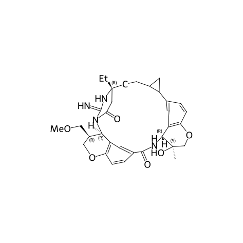 CC[C@]12CCC3CC3c3ccc4c(c3)[C@@H](NC(=O)c3ccc5c(c3)[C@@H]([C@H](COC)CO5)N(C(=N)N1)C(=O)C2)[C@](C)(O)CO4